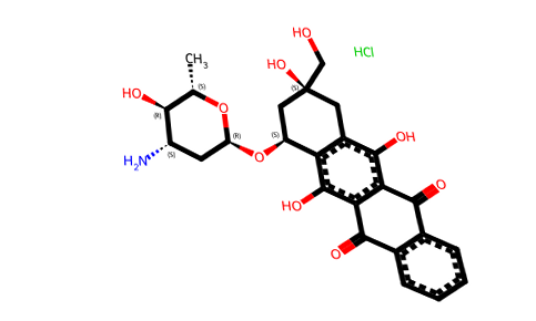 C[C@@H]1O[C@@H](O[C@H]2C[C@](O)(CO)Cc3c(O)c4c(c(O)c32)C(=O)c2ccccc2C4=O)C[C@H](N)[C@H]1O.Cl